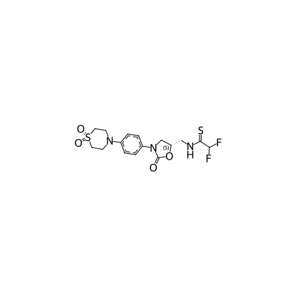 O=C1O[C@@H](CNC(=S)C(F)F)CN1c1ccc(N2CCS(=O)(=O)CC2)cc1